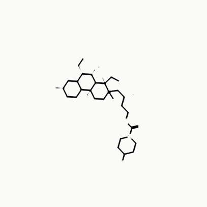 CC[C@@H]1C2C[C@H](O)CC[C@]2(C)[C@H]2CCC3(C)[C@@H]([C@H](C)CCOC(=O)N4CCC(O)CC4)CC[C@H]3[C@@H]2[C@@H]1O